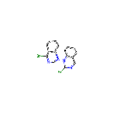 Brc1ncc2ccccc2n1.Brc1ncnc2ccccc12